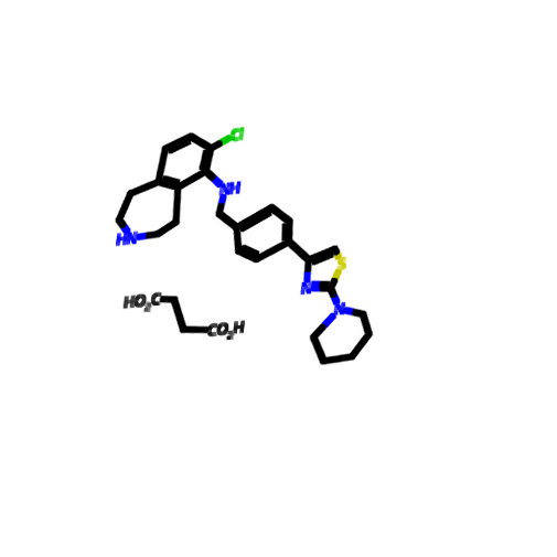 Clc1ccc2c(c1NCc1ccc(-c3csc(N4CCCCC4)n3)cc1)CCNCC2.O=C(O)CCC(=O)O